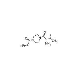 CCCOC(=O)N1CCN(C(=O)C(N)C(C)F)CC1